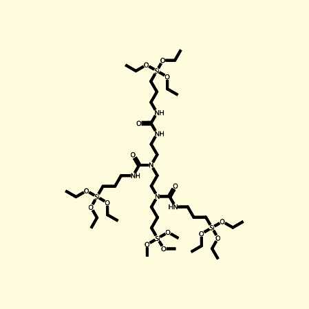 CCO[Si](CCCNC(=O)NCCN(CCN(CCC[Si](OC)(OC)OC)C(=O)NCCC[Si](OCC)(OCC)OCC)C(=O)NCCC[Si](OCC)(OCC)OCC)(OCC)OCC